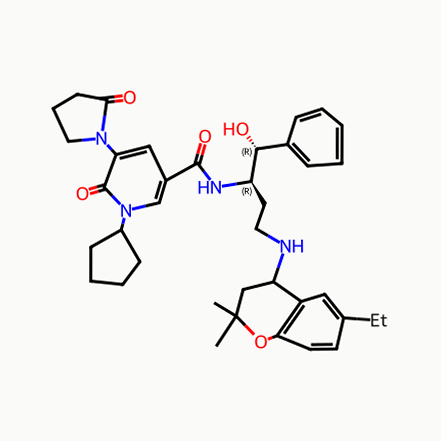 CCc1ccc2c(c1)C(NCC[C@@H](NC(=O)c1cc(N3CCCC3=O)c(=O)n(C3CCCC3)c1)[C@H](O)c1ccccc1)CC(C)(C)O2